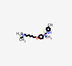 C=CCN(C)CCCCCCCOC1CCC(N(C)C(=S)Nc2ccc(C#N)cc2)CC1